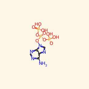 Nc1ncnc2c1ncn2OP(=O)(OP(=O)(O)O)OP(=O)(O)O